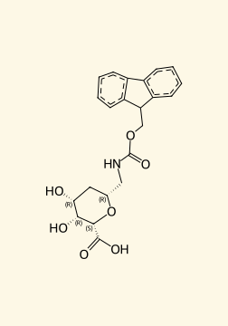 O=C(NC[C@H]1C[C@@H](O)[C@@H](O)[C@@H](C(=O)O)O1)OCC1c2ccccc2-c2ccccc21